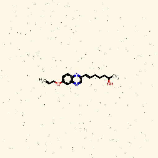 C=CCOc1ccc2nc(/C=C/CCCC(C)O)cnc2c1